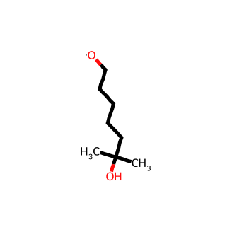 CC(C)(O)CCCCC[O]